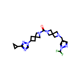 O=C(N1CC2(CC(n3cnc(C4CC4)n3)C2)C1)N1CC2(CN(Cc3cnn(C(F)F)c3)C2)C1